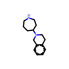 c1ccc2c(c1)CCN(C1CCCNCC1)C2